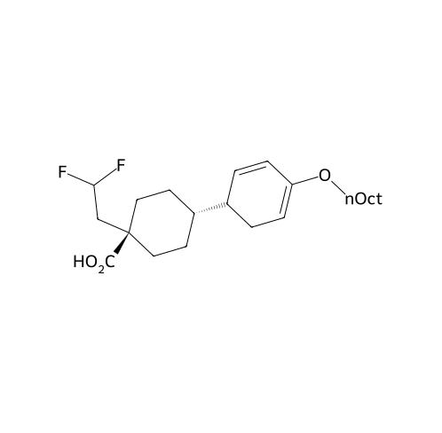 CCCCCCCCOC1=CCC([C@H]2CC[C@](CC(F)F)(C(=O)O)CC2)C=C1